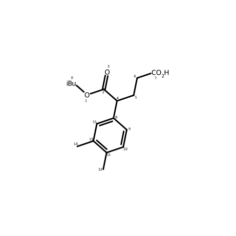 CCC(C)OC(=O)C(CCC(=O)O)c1ccc(C)c(C)c1